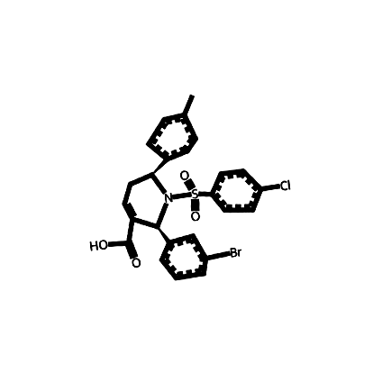 Cc1ccc([C@@H]2CC=C(C(=O)O)[C@H](c3cccc(Br)c3)N2S(=O)(=O)c2ccc(Cl)cc2)cc1